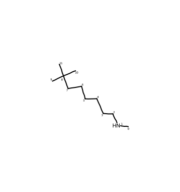 CNCCCCCCC(C)(C)C